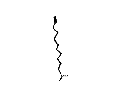 C=CCCCCCCCCC[SiH](C)C